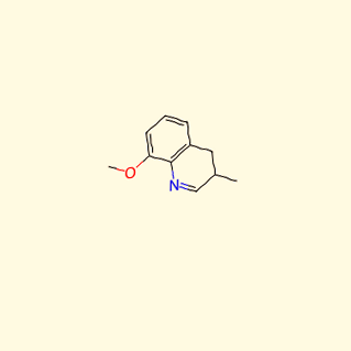 COc1cccc2c1N=CC(C)C2